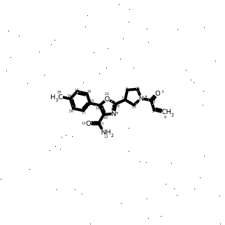 C=CC(=O)N1CCC(c2nc(C(N)=O)c(-c3ccc(C)cc3)o2)C1